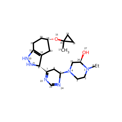 CCN1CCN([C@@H]2CC([C@@H]3NNC4=C3C[C@@H](OC3(C)CC3)CC4)=NC=N2)C[C@H]1O